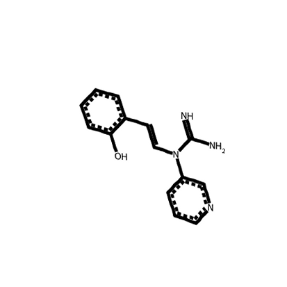 N=C(N)N(C=Cc1ccccc1O)c1cccnc1